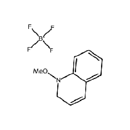 CON1CC=Cc2ccccc21.F[B-](F)(F)F